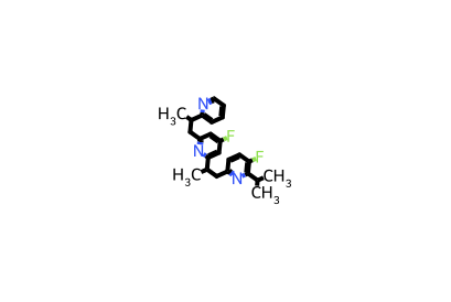 CC(C)c1nc(CC(C)c2cc(F)cc(CC(C)c3ccccn3)n2)ccc1F